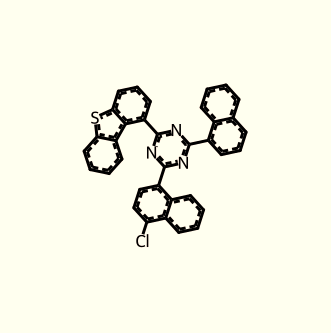 Clc1ccc(-c2nc(-c3cccc4ccccc34)nc(-c3cccc4sc5ccccc5c34)n2)c2ccccc12